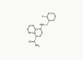 NC(=O)c1ccc(NCc2ccccc2F)c2cccnc12